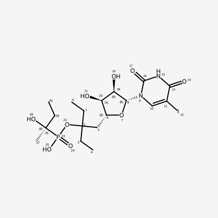 CCC(CC)(C[C@H]1O[C@@H](n2cc(I)c(=O)[nH]c2=O)[C@H](O)[C@@H]1O)OP(=O)(O)[C@@](C)(O)CC